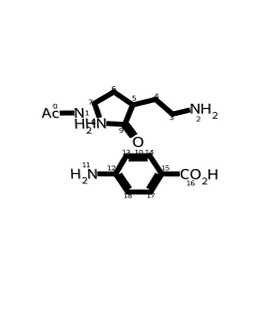 CC(N)=O.NCCC1CCNC1=O.Nc1ccc(C(=O)O)cc1